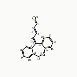 O=C/C=C/C=C1/c2ccccc2CSc2ccccc21